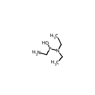 CCN(CC)P(O)CN